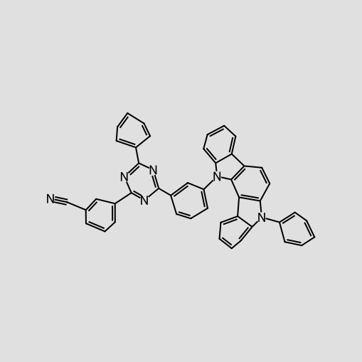 N#Cc1cccc(-c2nc(-c3ccccc3)nc(-c3cccc(-n4c5ccccc5c5ccc6c(c7ccccc7n6-c6ccccc6)c54)c3)n2)c1